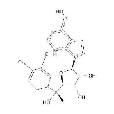 C[C@@](O)(C1C=C(Cl)C(Cl)=CC1)[C@H]1O[C@@H](n2ccc3/c(=N/O)nc[nH]c32)[C@H](O)[C@@H]1O